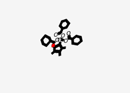 CC1=C(C)C(C)[C]([Ti]([O]C(=O)C2CCCCC2)([O]C(=O)C2CCCCC2)[O]C(=O)C2CCCCC2)=C1C